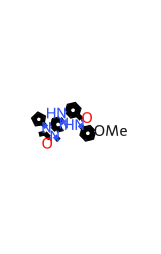 COc1cccc(NC(=O)c2cccc(Nc3cc4c(cn3)N(C)C(=O)C(C)N4C3CCCC3)c2)c1